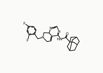 O=C(NC1=NC=NC2CN(Cc3ccc(F)cc3F)CC=C12)C12CC3CC(CC(C3)C1)C2